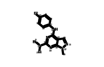 CCN(CC)c1nc(Nc2ccc(F)cc2)c2cnn(C)c2n1